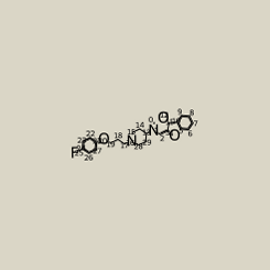 CN(C=C1Oc2ccccc2C1=O)C1CCN(CCCOc2ccc(F)cc2)CC1